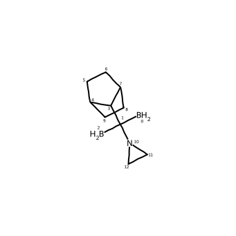 BC(B)(C1C2CCC1CC2)N1CC1